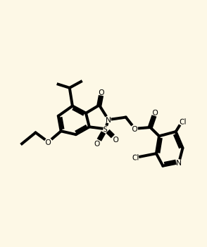 CCOc1cc(C(C)C)c2c(c1)S(=O)(=O)N(COC(=O)c1c(Cl)cncc1Cl)C2=O